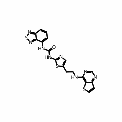 O=C(Nc1ncc(CCNc2ncnc3ccsc23)s1)Nc1cccc2nsnc12